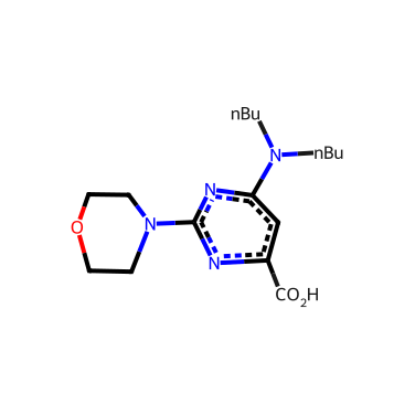 CCCCN(CCCC)c1cc(C(=O)O)nc(N2CCOCC2)n1